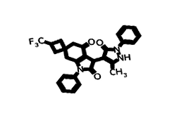 Cc1[nH]n(-c2ccccc2)c(=O)c1C1C(=O)N(c2ccccc2)C2=C1C(=O)CC1(C2)CC(C(F)(F)F)C1